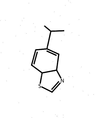 CC(C)C1=CC2N=CSC2C=C1